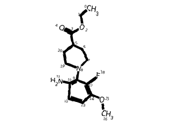 CCOC(=O)C1CCN(c2c(N)ccc(OC)c2F)CC1